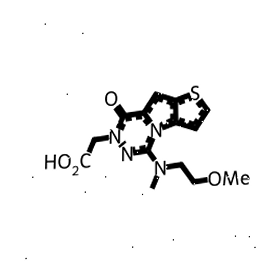 COCCN(C)c1nn(CC(=O)O)c(=O)c2cc3sccc3n12